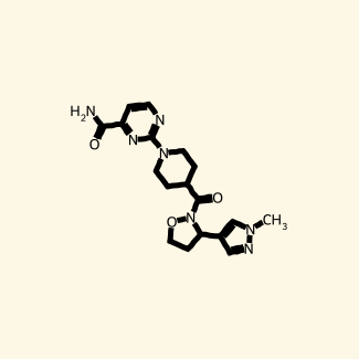 Cn1cc(C2CCON2C(=O)C2CCN(c3nccc(C(N)=O)n3)CC2)cn1